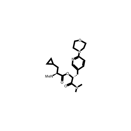 CN[C@@H](CC1CC1)C(=O)O[C@H](Cc1ccc(N2CCOCC2)nc1)C(=O)N(C)C